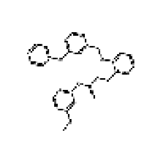 CCc1cccc(OC(=O)CCc2ccccc2OCc2cccc(Oc3ccccc3)c2)c1